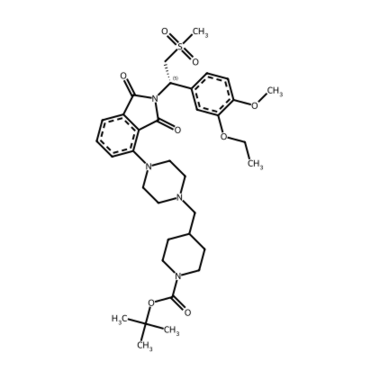 CCOc1cc([C@@H](CS(C)(=O)=O)N2C(=O)c3cccc(N4CCN(CC5CCN(C(=O)OC(C)(C)C)CC5)CC4)c3C2=O)ccc1OC